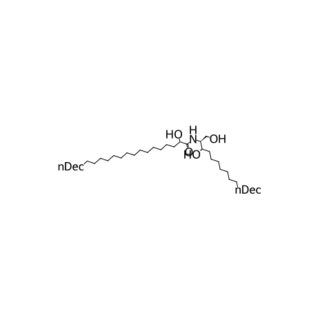 CCCCCCCCCCCCCCCCCCCCCCCCC(O)C(=O)N[C@@H](CO)[C@H](O)CCCCCCCCCCCCCCCCC